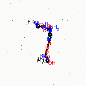 C[C@@H]1C[C@@H](O)CN1C(=O)[C@@H](NCCOCCOCCOCCNCc1ccc(-n2cc(NC(=O)c3coc(-c4ccnc(NCC(F)(F)F)c4)n3)c(C(N)=O)n2)cc1)C(C)(C)C